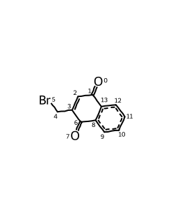 O=C1C=C(CBr)C(=O)c2ccccc21